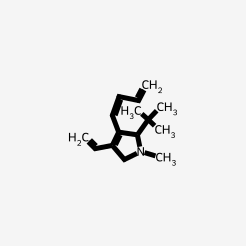 C=C/C=C\C1=C(C=C)CN(C)C1C(C)(C)C